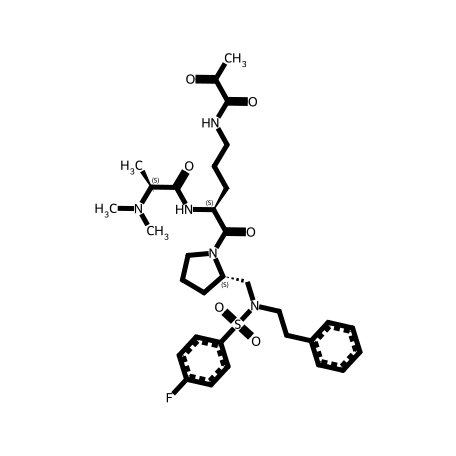 CC(=O)C(=O)NCCC[C@H](NC(=O)[C@H](C)N(C)C)C(=O)N1CCC[C@H]1CN(CCc1ccccc1)S(=O)(=O)c1ccc(F)cc1